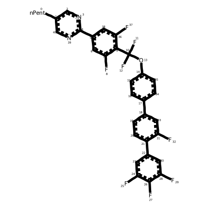 CCCCCc1cnc(-c2cc(F)c(C(F)(F)Oc3ccc(-c4ccc(-c5cc(F)c(F)c(F)c5)c(F)c4)cc3)c(F)c2)nc1